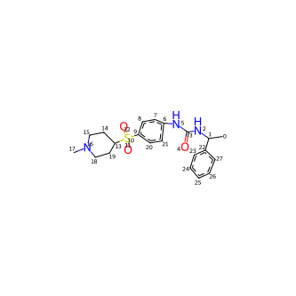 CC(NC(=O)Nc1ccc(S(=O)(=O)C2CCN(C)CC2)cc1)c1ccccc1